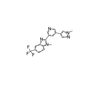 Cn1cc(-c2cncc(-c3nc4cc(C(F)(F)F)ccc4n3C)c2)cn1